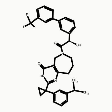 CC(C)c1cccc(C2(c3nc4c(c(=O)[nH]3)CN(C(=O)[C@H](O)c3cccc(-c5cccc(C(F)(F)F)c5)c3)CCC4)CC2)c1